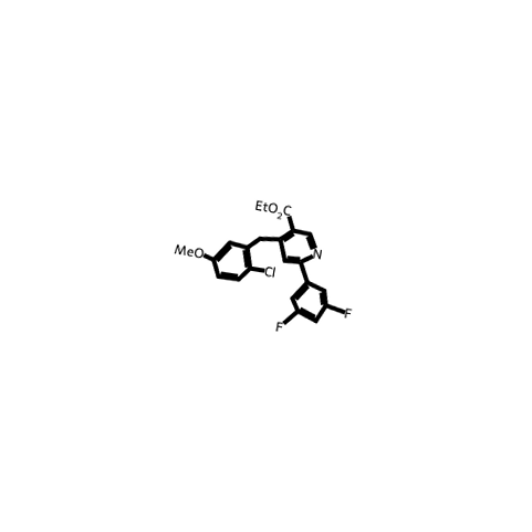 CCOC(=O)c1cnc(-c2cc(F)cc(F)c2)cc1Cc1cc(OC)ccc1Cl